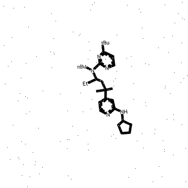 CCCCN(c1nccc(C(C)(C)C)n1)C(CC)CC(C)(C)c1ccnc(NC2CCCC2)c1